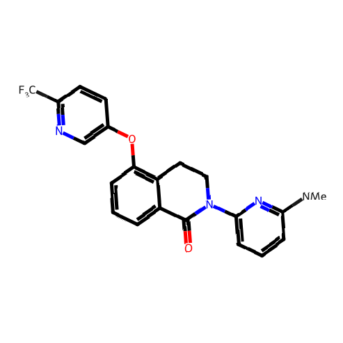 CNc1cccc(N2CCc3c(Oc4ccc(C(F)(F)F)nc4)cccc3C2=O)n1